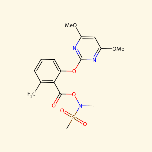 COc1cc(OC)nc(Oc2cccc(C(F)(F)F)c2C(=O)ON(C)S(C)(=O)=O)n1